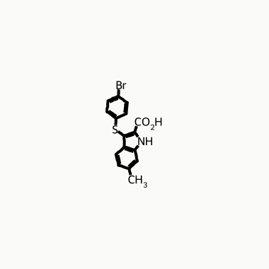 Cc1ccc2c(Sc3ccc(Br)cc3)c(C(=O)O)[nH]c2c1